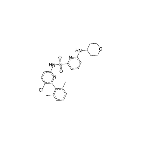 Cc1cccc(C)c1-c1nc(NS(=O)(=O)c2cccc(NC3CCOCC3)n2)ccc1Cl